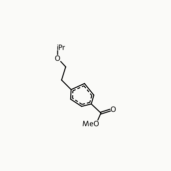 COC(=O)c1ccc(CCOC(C)C)cc1